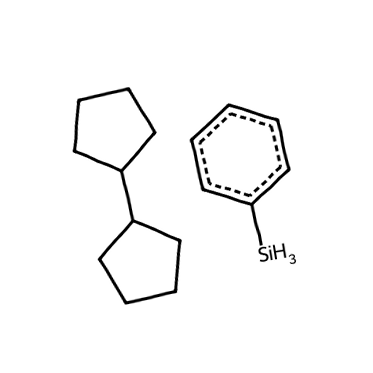 C1CCC(C2CCCC2)C1.[SiH3]c1ccccc1